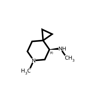 CN[C@H]1CN(C)CCC12CC2